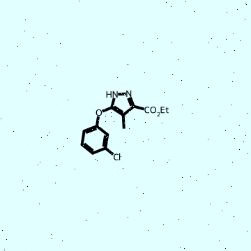 CCOC(=O)c1n[nH]c(Oc2cccc(Cl)c2)c1C